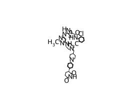 Cc1nc(Nc2ncc(C(=O)Nc3c(C)cccc3Cl)s2)cc(N2CCN(CC3CCN(c4ccc([C@@H]5CCC(=O)NC5=O)cc4)CC3)CC2)n1